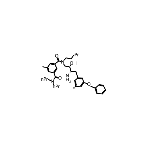 CCCN(CCC)C(=O)c1cc(C)cc(C(=O)N(CCC(C)C)C[C@@H](O)[C@@H](N)Cc2cc(F)cc(OCc3ccccc3)c2)c1